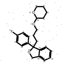 Fc1ccc(C2(CCCOC3CCCCO3)OCc3ccccc32)cc1